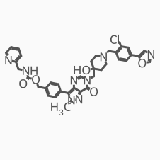 Cn1nc2c(=O)n(CC3(O)CCN(Cc4ccc(-c5cnco5)cc4Cl)CC3)cnc2c1-c1ccc(COC(=O)NCc2ccccn2)cc1